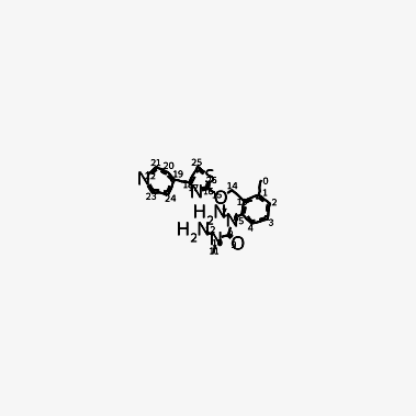 Cc1cccc(N(N)C(=O)N(C)N)c1COc1nc(-c2ccncc2)cs1